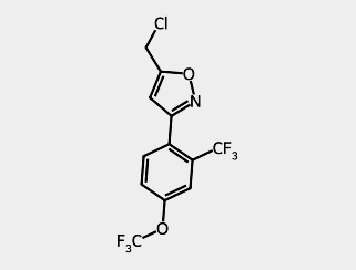 FC(F)(F)Oc1ccc(-c2cc(CCl)on2)c(C(F)(F)F)c1